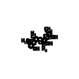 CCc1ccc(O)c(Cc2c(C)c(Cc3cc(C)c(O)c(Cc4cc(CC)ccc4O)c3C)cc(C)c2O)c1